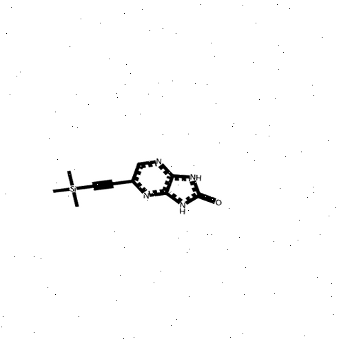 C[Si](C)(C)C#Cc1cnc2[nH]c(=O)[nH]c2n1